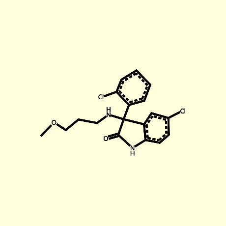 COCCCNC1(c2ccccc2Cl)C(=O)Nc2ccc(Cl)cc21